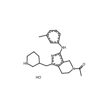 CC(=O)N1CCc2c(c(Nc3cccc(C)c3)nn2CC2CCCNC2)C1.Cl